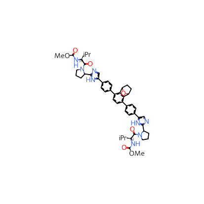 COC(=O)N[C@H](C(=O)N1CCCC1c1ncc(-c2ccc(-c3ccc(-c4ccc(-c5cnc(C6CCCN6C(=O)[C@@H](NC(=O)OC)C(C)C)[nH]5)cc4)c4c3C3CCC4O3)cc2)[nH]1)C(C)C